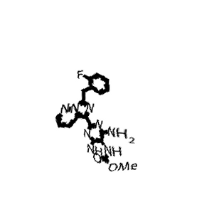 COC(=O)Nc1c(N)nc(-c2nc(Cc3ccccc3F)n3ncccc23)nc1N